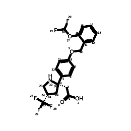 O=C(O)C[C@]1(c2ccc(OCc3ccccc3OC(F)F)cc2)C[C@H](C(F)(F)F)CN1